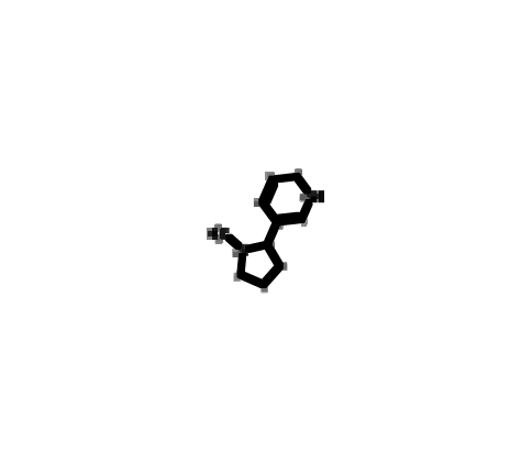 CN1CCCC1C1=CNCC=C1